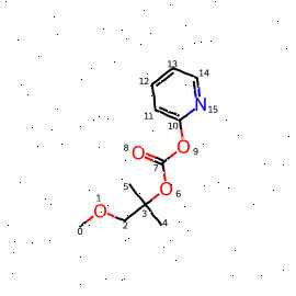 COCC(C)(C)OC(=O)Oc1ccccn1